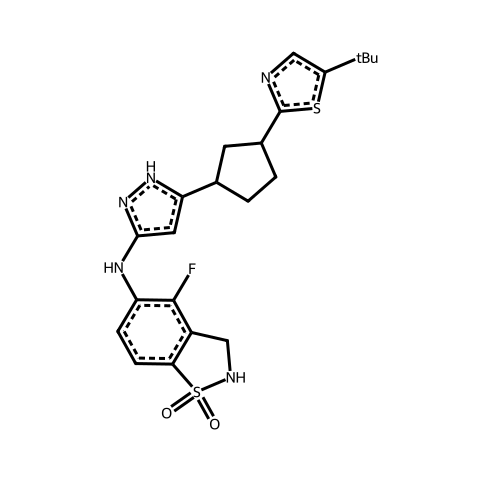 CC(C)(C)c1cnc(C2CCC(c3cc(Nc4ccc5c(c4F)CNS5(=O)=O)n[nH]3)C2)s1